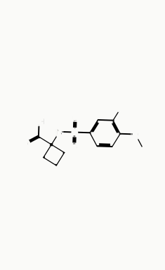 COc1ccc(S(=O)(=O)NC2(C(=O)O)CCC2)cc1F